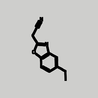 CCc1ccc2oc(CC#N)nc2c1